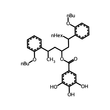 CCCCCCC(CC(CC(C)c1ccccc1OCCCC)OC(=O)c1cc(O)c(O)c(O)c1)c1ccccc1OCCCC